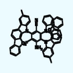 Cc1ccc2c(c1)c1ccc3c4ccccc4oc3c1n2-c1c(C#N)c(N)c(-n2c3ccc(C)cc3c3ccc4c5ccccc5oc4c32)c(-n2c3ccccc3c3ccccc32)c1C#N